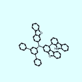 c1ccc(-c2cc(-c3ccccc3)cc(N(c3ccc4c(c3)oc3ccccc34)c3cc(-c4cccc5c4[nH]c4ccccc45)c4c(c3)oc3ccccc34)c2)cc1